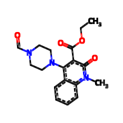 CCOC(=O)c1c(N2CCN(C=O)CC2)c2ccccc2n(C)c1=O